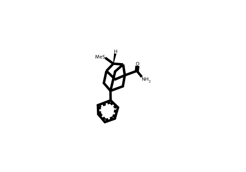 CS[C@H]1C2CC3(c4ccccc4)CC1C(C(N)=O)(C2)C3